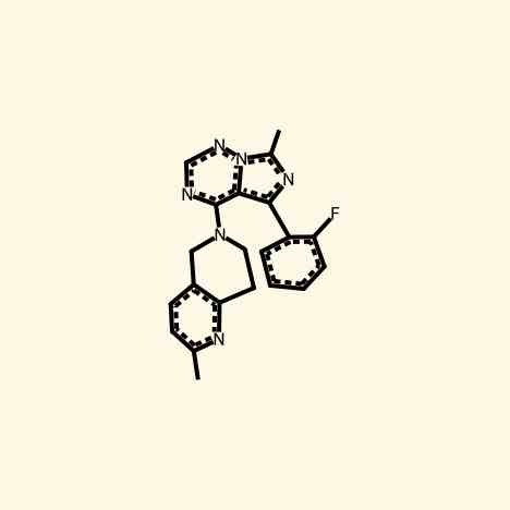 Cc1ccc2c(n1)CCN(c1ncnn3c(C)nc(-c4ccccc4F)c13)C2